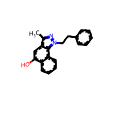 Cc1nn(CCc2ccccc2)c2c1cc(O)c1ccccc12